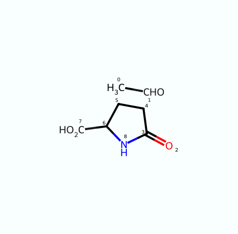 CC=O.O=C1CCC(C(=O)O)N1